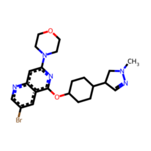 CN1CC(C2CCC(Oc3nc(N4CCOCC4)cc4ncc(Br)cc34)CC2)C=N1